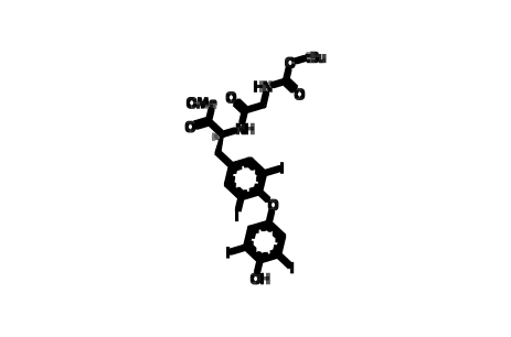 COC(=O)[C@H](Cc1cc(I)c(Oc2cc(I)c(O)c(I)c2)c(I)c1)NC(=O)CNC(=O)OC(C)(C)C